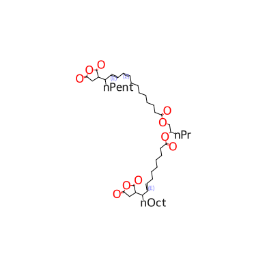 CCCCCCCCC(/C=C/CCCCCCC(=O)OC(CCC)COC(=O)CCCCCCC/C=C\C=C\C(CCCCC)C1CC(=O)OC1=O)C1CC(=O)OC1=O